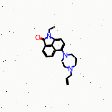 C=CCN1CCCN(c2ccc3c4c(cccc24)C(=O)N3CC)CC1